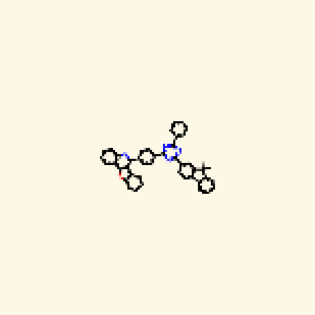 CC1(C)c2ccccc2-c2ccc(-c3nc(-c4ccccc4)nc(-c4ccc(-c5nc6ccccc6c6oc7ccccc7c56)cc4)n3)cc21